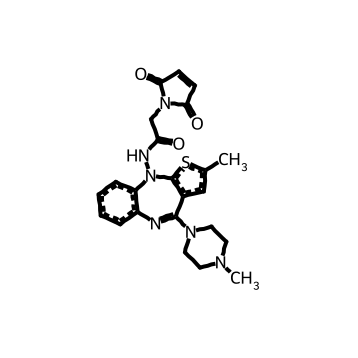 Cc1cc2c(s1)N(NC(=O)CN1C(=O)C=CC1=O)c1ccccc1N=C2N1CCN(C)CC1